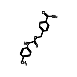 Cc1ccc(NC(=S)OCc2ccc(C(=O)C(C)(C)C)cc2)cc1